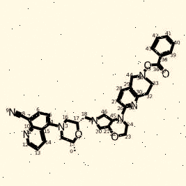 C[C@@H]1CN(c2ccc(C#N)c3ncccc23)C[C@H](CN2CC3OCCN(c4ccc5c(n4)CCN(OC(=O)c4ccccc4)C5)C3C2)O1